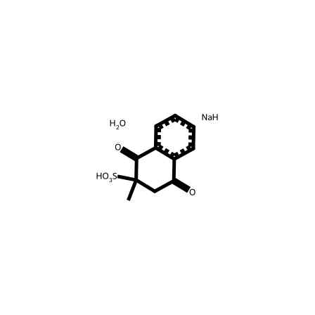 CC1(S(=O)(=O)O)CC(=O)c2ccccc2C1=O.O.[NaH]